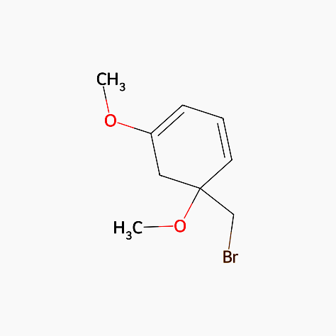 COC1=CC=CC(CBr)(OC)C1